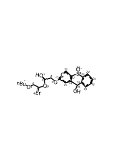 CCCCOCC(CC)OC(O)COc1ccc2c(c1)C(O)c1ccccc1[S+]2[O-]